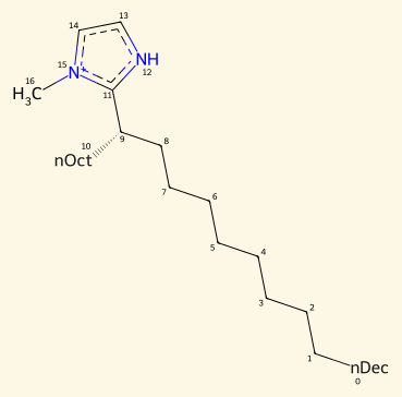 CCCCCCCCCCCCCCCCCC[C@H](CCCCCCCC)c1[nH]cc[n+]1C